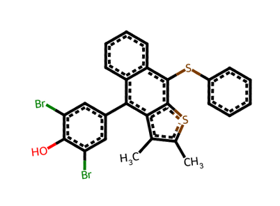 Cc1sc2c(Sc3ccccc3)c3ccccc3c(-c3cc(Br)c(O)c(Br)c3)c2c1C